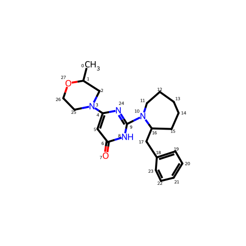 CC1CN(c2cc(=O)[nH]c(N3CCCCCC3Cc3ccccc3)n2)CCO1